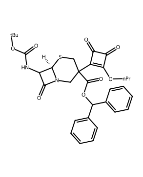 CCCOc1c(C2(C(=O)OC(c3ccccc3)c3ccccc3)CS[C@@H]3C(NC(=O)OC(C)(C)C)C(=O)N3C2)c(=O)c1=O